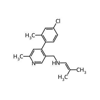 CC(C)=CNCc1cnc(C)cc1-c1ccc(Cl)cc1C